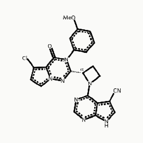 COc1cccc(-n2c([C@@H]3CCN3c3ncnc4[nH]cc(C#N)c34)nn3ccc(Cl)c3c2=O)c1